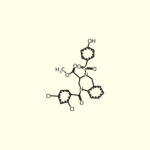 COC(=O)C1CN(C(=O)c2ccc(Cl)cc2Cl)c2ccccc2CN1S(=O)(=O)c1ccc(O)cc1